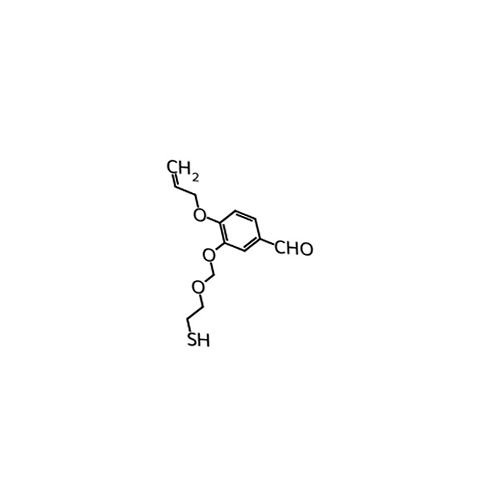 C=CCOc1ccc(C=O)cc1OCOCCS